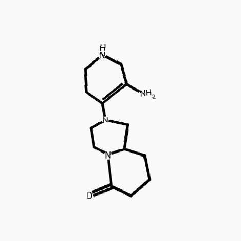 NC1=C(N2CCN3C(=O)CCCC3C2)CCNC1